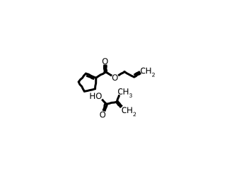 C=C(C)C(=O)O.C=CCOC(=O)C1=CCCC1